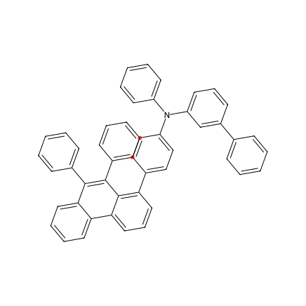 c1ccc(-c2cccc(N(c3ccccc3)c3ccc(-c4cccc5c4c(-c4ccccc4)c(-c4ccccc4)c4ccccc45)cc3)c2)cc1